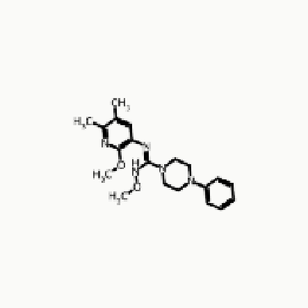 CONC(=Nc1cc(C)c(C)nc1OC)N1CCN(c2ccccc2)CC1